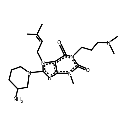 CC(C)=CCn1c(N2CCCC(N)C2)nc2c1c(=O)n(CCCN(C)C)c(=O)n2C